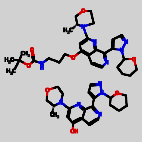 C[C@@H]1COCCN1c1cc(O)c2ccnc(-c3ccnn3C3CCCCO3)c2n1.C[C@@H]1COCCN1c1cc(OCCCNC(=O)OC(C)(C)C)c2ccnc(-c3ccnn3C3CCCCO3)c2n1